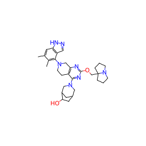 Cc1cc2[nH]ncc2c(N2CCc3c(nc(OCC45CCCN4CCC5)nc3N3CC4CC(O)C(C4)C3)C2)c1C